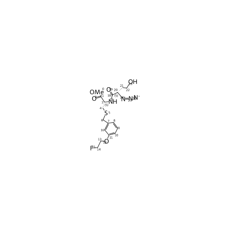 COC(=O)[C@@H](CSCc1cccc(OCCF)c1)NC(=O)[C@H](CCO)N=[N+]=[N-]